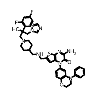 Nc1nc2sc(CNCC3CCN(CC(O)(Cn4cncn4)c4ccc(F)cc4F)CC3)cc2n(-c2ccc3c(c2)N(c2ccccc2)CCO3)c1=O